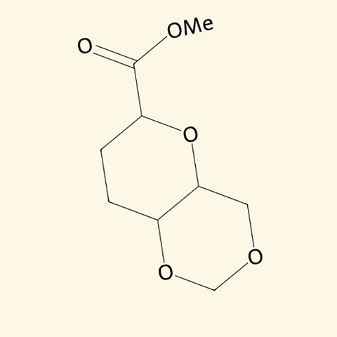 COC(=O)C1CCC2OCOCC2O1